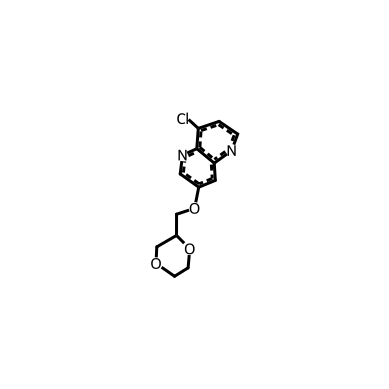 Clc1ccnc2cc(OCC3COCCO3)cnc12